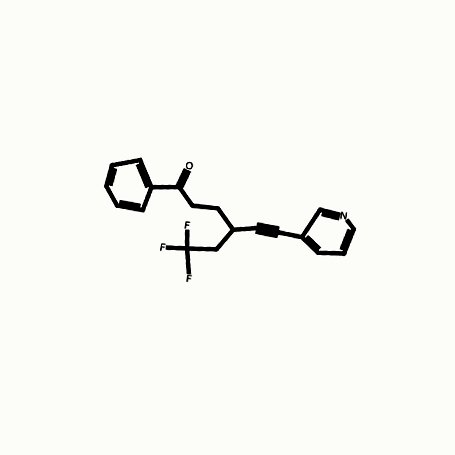 O=C(CCC(C#Cc1cccnc1)CC(F)(F)F)c1ccccc1